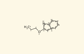 CCCOc1cn2ccccc2n1